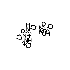 O=C(Nc1ccc(CNC(=O)C(c2ccccc2)S(=O)(=O)O)cc1)C(=O)Nc1ccccc1-c1nc2ccccc2[nH]1